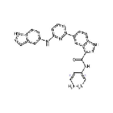 N/C=C\C(=C/N)NC(=O)c1c[nH]c2ccc(-c3nccc(Nc4ccc5[nH]ncc5c4)n3)cc12